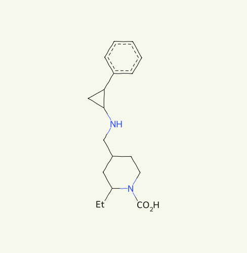 CCC1CC(CNC2CC2c2ccccc2)CCN1C(=O)O